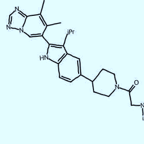 Cc1c(-c2[nH]c3ccc(C4CCN(C(=O)CNC(C)C)CC4)cc3c2C(C)C)cn2ncnc2c1C